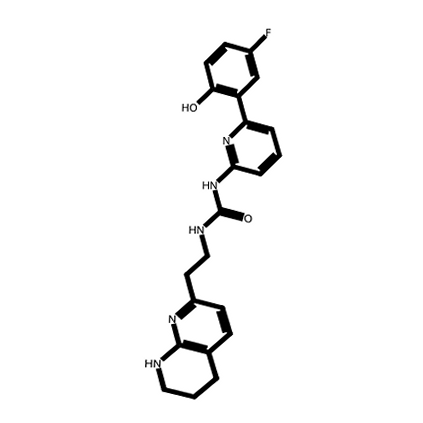 O=C(NCCc1ccc2c(n1)NCCC2)Nc1cccc(-c2cc(F)ccc2O)n1